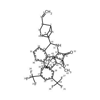 C=CC1CN2CCC1CC2C(Nc1c(Nc2cc(C(F)(F)F)cc(C(F)(F)F)c2)c(=O)c1=O)c1ccnc2ccc(OC)cc12